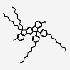 CCCCCCCCc1ccc(C2(c3ccc(CCCCCCCC)cc3)c3cc(Br)ccc3-c3cc4c(cc32)-c2ccc(Br)cc2C4(CCCCCCCC)CCCCCCCC)cc1